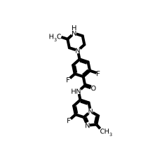 Cc1cn2cc(NC(=O)c3c(F)cc(N4CCNC(C)C4)cc3F)cc(F)c2n1